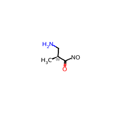 C[C@@H](CN)C(=O)N=O